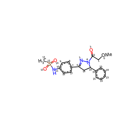 COCC(=O)N1N=C(c2ccc(NS(C)(=O)=O)cc2)CC1c1ccccc1